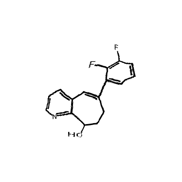 OC1CCC(c2cccc(F)c2F)=Cc2cccnc21